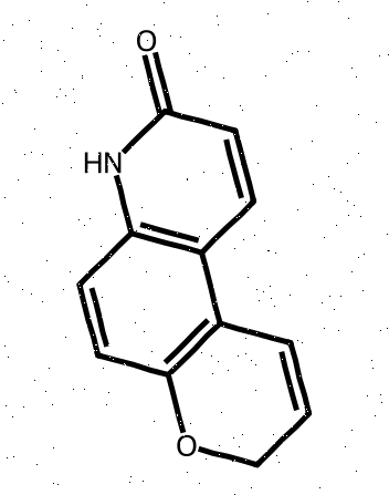 O=c1ccc2c3c(ccc2[nH]1)OCC=C3